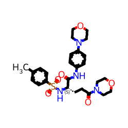 Cc1ccc(S(=O)(=O)N[C@@H](CCC(=O)N2CCOCC2)C(=O)Nc2ccc(N3CCOCC3)cc2)cc1